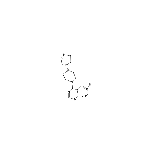 Brc1ccc2ncnc(N3CCN(c4ccncc4)CC3)c2c1